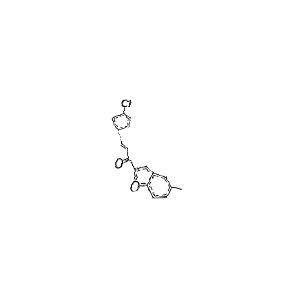 Cc1ccc2oc(C(=O)C=Cc3ccc(Cl)cc3)cc2c1